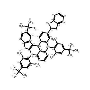 Cc1cc(C(C)(C)C)cc(C)c1N1c2cc(-c3cc4ccccc4o3)ccc2B2c3c1cccc3N(c1c(C)cc(C(C)(C)C)cc1C)c1oc3ccc(C(C)(C)C)cc3c12